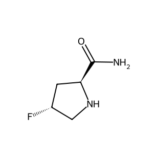 NC(=O)[C@@H]1C[C@@H](F)CN1